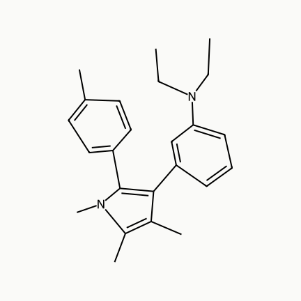 CCN(CC)c1cccc(-c2c(C)c(C)n(C)c2-c2ccc(C)cc2)c1